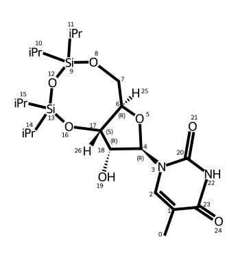 Cc1cn([C@@H]2O[C@@H]3CO[Si](C(C)C)(C(C)C)O[Si](C(C)C)(C(C)C)O[C@H]3[C@H]2O)c(=O)[nH]c1=O